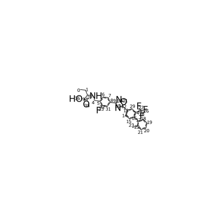 CCC(NCc1ccc(-c2noc(-c3ccc(-c4ccccc4C)c(C(F)(F)F)c3)n2)cc1F)C(=O)O